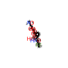 CN(C)C(=O)CCC(=O)OCOC(=O)c1cccc2c1OB(O)[C@@H](NC(=O)CCC(C)(F)F)C2